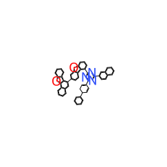 C1=CC(c2ccccc2)CC=C1c1nc(-c2ccc3ccccc3c2)nc(-c2cccc3oc4cc(-c5cc6ccccc6c6oc7ccccc7c56)ccc4c23)n1